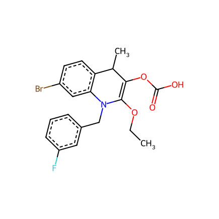 CCOC1=C(OC(=O)O)C(C)c2ccc(Br)cc2N1Cc1cccc(F)c1